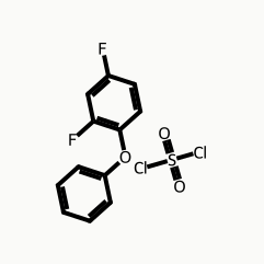 Fc1ccc(Oc2ccccc2)c(F)c1.O=S(=O)(Cl)Cl